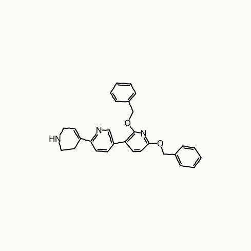 C1=C(c2ccc(-c3ccc(OCc4ccccc4)nc3OCc3ccccc3)cn2)CCNC1